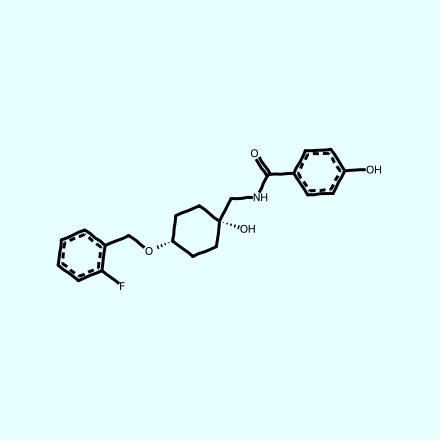 O=C(NC[C@]1(O)CC[C@@H](OCc2ccccc2F)CC1)c1ccc(O)cc1